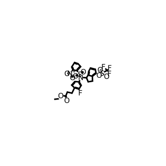 CCOC(=O)CCc1ccc(N(C2CCc3c(OS(=O)(=O)C(F)(F)F)cccc32)S(=O)(=O)c2ccccc2[N+](=O)[O-])cc1F